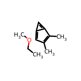 CCOC.Cc1cc2cc-2c1C